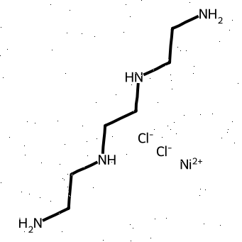 NCCNCCNCCN.[Cl-].[Cl-].[Ni+2]